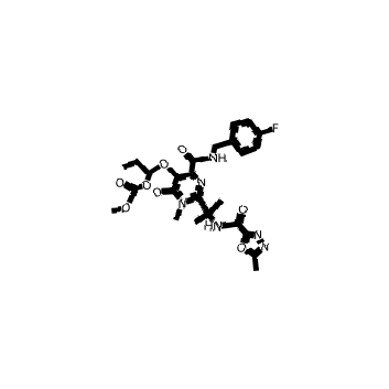 CCC(OC(=O)OC)Oc1c(C(=O)NCc2ccc(F)cc2)nc(C(C)(C)NC(=O)c2nnc(C)o2)n(C)c1=O